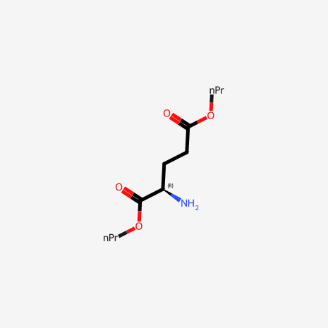 CCCOC(=O)CC[C@@H](N)C(=O)OCCC